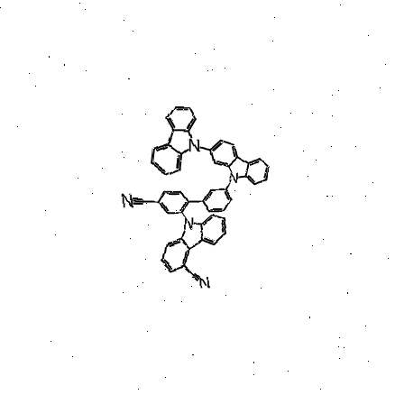 N#Cc1ccc(-c2cccc(-n3c4ccccc4c4ccc(-n5c6ccccc6c6ccccc65)cc43)c2)c(-n2c3ccccc3c3c(C#N)cccc32)c1